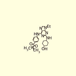 CCn1cnc2c(Nc3ccc(S(=O)(=O)N(C)C)cc3)nc(NC3CCC(O)CC3)nc21